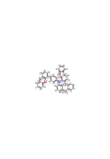 CC1(C)c2ccccc2Oc2c(N(c3ccc(-c4cccc5c4Oc4ccccc4S5)cc3)c3cccc4c3oc3ccccc34)cccc21